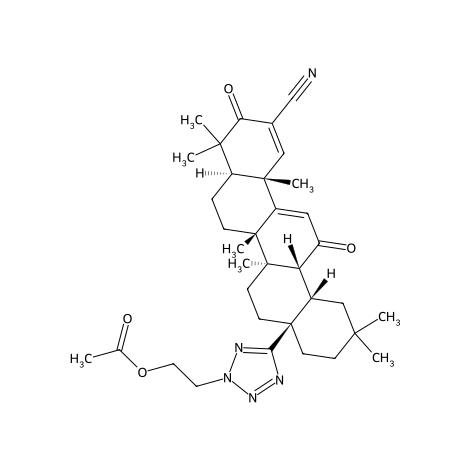 CC(=O)OCCn1nnc([C@]23CCC(C)(C)C[C@H]2[C@H]2C(=O)C=C4[C@@]5(C)C=C(C#N)C(=O)C(C)(C)[C@@H]5CC[C@@]4(C)[C@]2(C)CC3)n1